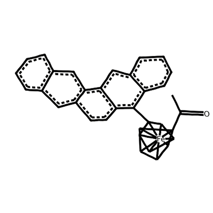 CC(=O)[C]12[CH]3[CH]4[CH]5[CH]1[Fe]45321678[CH]2[CH]1[CH]6[C]7(c1c3ccccc3cc3c1ccc1cc4ccccc4cc13)[CH]28